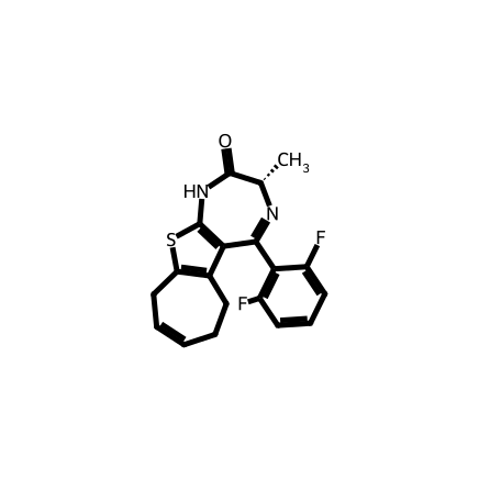 C[C@@H]1N=C(c2c(F)cccc2F)c2c(sc3c2CCC=CC3)NC1=O